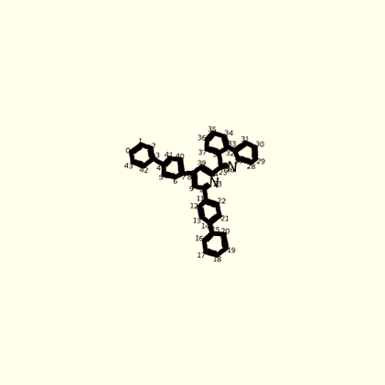 c1ccc(-c2ccc(-c3cc(-c4ccc(-c5ccccc5)cc4)nc(-c4nc5ccccc5c5ccccc45)c3)cc2)cc1